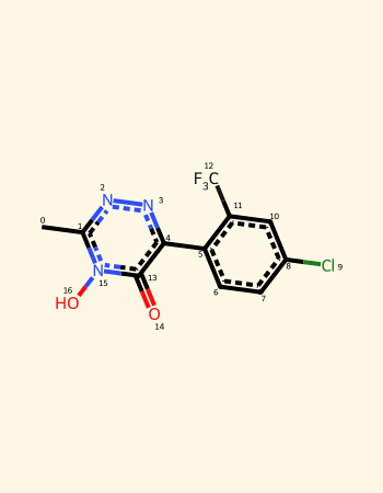 Cc1nnc(-c2ccc(Cl)cc2C(F)(F)F)c(=O)n1O